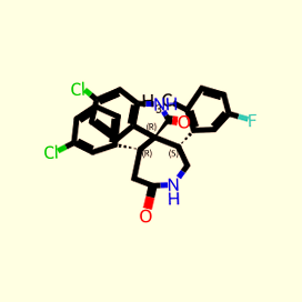 Cc1ccc(F)cc1[C@@H]1CNC(=O)C[C@H](c2cccc(Cl)c2)[C@@]12C(=O)Nc1cc(Cl)ccc12